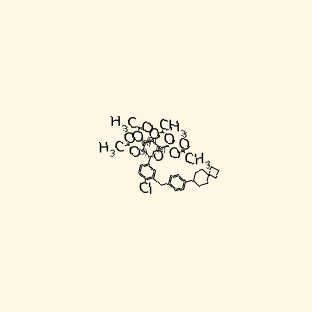 CC(=O)OC[C@H]1OC(c2ccc(Cl)c(Cc3ccc(C4CCC5(CCC5)CC4)cc3)c2)[C@H](OC(C)=O)[C@@H](OC(C)=O)[C@@H]1OC(C)=O